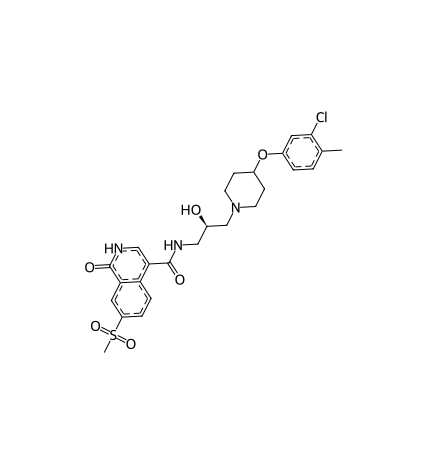 Cc1ccc(OC2CCN(C[C@H](O)CNC(=O)c3c[nH]c(=O)c4cc(S(C)(=O)=O)ccc34)CC2)cc1Cl